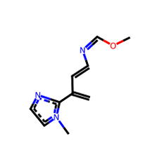 C=C(/C=C/N=C\OC)c1nccn1C